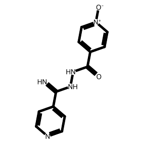 N=C(NNC(=O)c1cc[n+]([O-])cc1)c1ccncc1